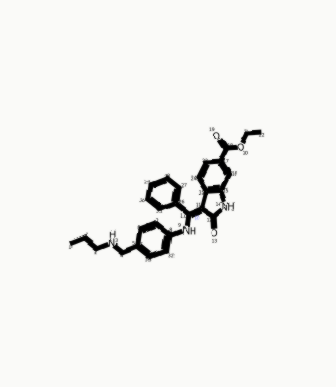 CCCNCc1ccc(N/C(=C2\C(=O)Nc3cc(C(=O)OCC)ccc32)c2ccccc2)cc1